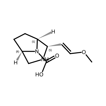 COC=C[C@@H]1NC[C@H]2CC[C@@H]1N2C(=O)O